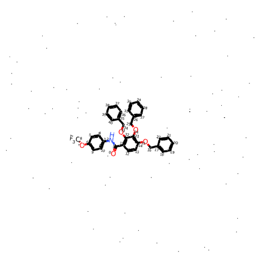 O=C(Nc1ccc(OC(F)(F)F)cc1)c1ccc(OCc2ccccc2)c(OCc2ccccc2)c1OCc1ccccc1